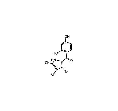 O=C(c1ccc(O)cc1O)c1[nH]c(Cl)c(Cl)c1Br